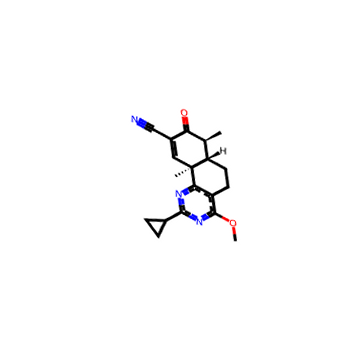 COc1nc(C2CC2)nc2c1CC[C@H]1[C@H](C)C(=O)C(C#N)=C[C@]21C